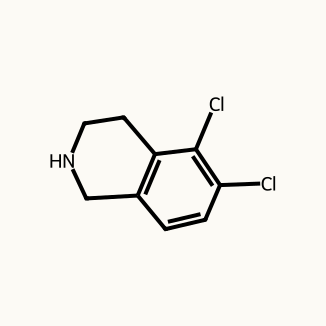 Clc1ccc2c(c1Cl)CCNC2